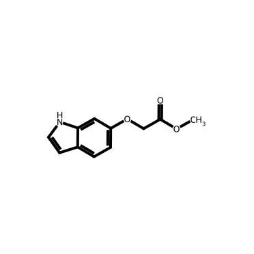 COC(=O)COc1ccc2cc[nH]c2c1